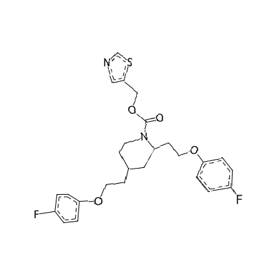 O=C(OCc1cncs1)N1CCC(CCOc2ccc(F)cc2)CC1CCOc1ccc(F)cc1